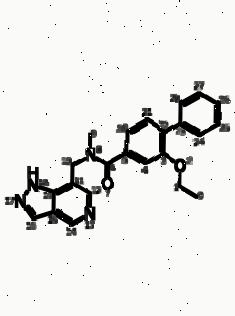 CCOc1cc(C(=O)N(C)Cc2cncc3cn[nH]c23)ccc1-c1ccccc1